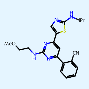 COCCNc1nc(-c2cnc(NC(C)C)s2)cc(-c2ccccc2C#N)n1